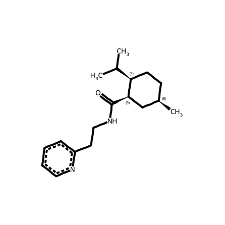 CC(C)[C@H]1CC[C@@H](C)C[C@H]1C(=O)NCCc1ccccn1